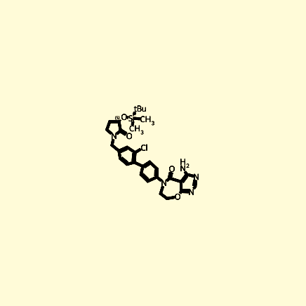 CC(C)(C)[Si](C)(C)O[C@H]1CCN(Cc2ccc(-c3ccc(N4CCOc5ncnc(N)c5C4=O)cc3)c(Cl)c2)C1=O